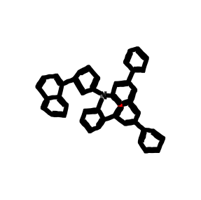 c1ccc(-c2cccc(-c3ccccc3N(c3cccc(-c4ccccc4)c3)c3cccc(-c4cccc5ccccc45)c3)c2)cc1